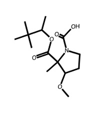 COC1CCN(C(=O)O)C1(C)C(=O)OC(C)C(C)(C)C